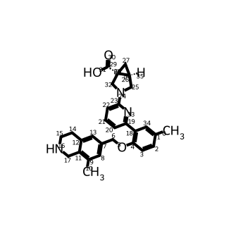 Cc1ccc(OCc2cc(C)c3c(c2)CCNC3)c(-c2cccc(N3C[C@@H]4C[C@]4(C(=O)O)C3)n2)c1